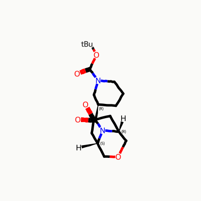 CC(C)(C)OC(=O)N1CCC[C@@H](C(=O)N2[C@@H]3COC[C@H]2CC(=O)C3)C1